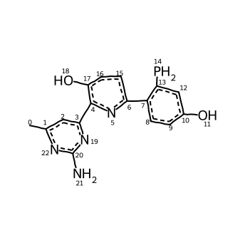 Cc1cc(-c2nc(-c3ccc(O)cc3P)ccc2O)nc(N)n1